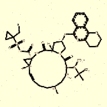 C[C@H]1CCC=C[C@@H]2C[C@@]2(C(=O)NS(=O)(=O)C2(CF)CC2)NC(=O)[C@@H]2C[C@@H](Oc3nc4c(c5ccccc35)OCCC4)CN2C(=O)[C@@H](N(C(=O)O)C(C)(C)C(F)(F)F)[C@H](C)C1